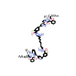 CN[C@@H](C)C(=O)N[C@H](C(=O)N1CCC[C@H]1c1cncc(-c2ccc(F)c(C(=O)NCCCCCCCCNC(=O)c3cc(C4=CN=CC([C@@H]5CCCN5C(=O)[C@@H](NC(=O)[C@H](C)NC)C5CCCCC5)C4)ccc3F)c2)c1)C1CCCCC1